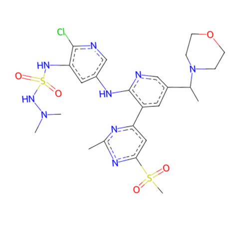 Cc1nc(-c2cc(C(C)N3CCOCC3)cnc2Nc2cnc(Cl)c(NS(=O)(=O)NN(C)C)c2)cc(S(C)(=O)=O)n1